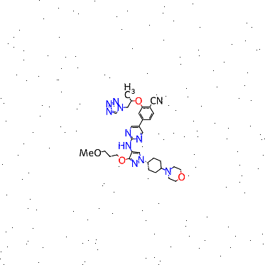 COCCCOc1nn([C@H]2CC[C@H](N3CCOCC3)CC2)cc1Nc1ncc(-c2ccc(C#N)c(OC(C)Cn3cnnn3)c2)cn1